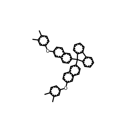 Cc1ccc(Oc2ccc3cc(C4(c5ccc6cc(Oc7ccc(C)c(C)c7)ccc6c5)c5ccccc5-c5ccccc54)ccc3c2)cc1C